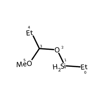 CC[SiH2]OC(CC)OC